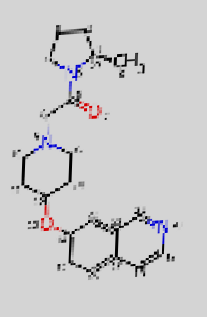 C[C@@H]1CCCN1C(=O)CN1CCC(Oc2ccc3ccncc3c2)CC1